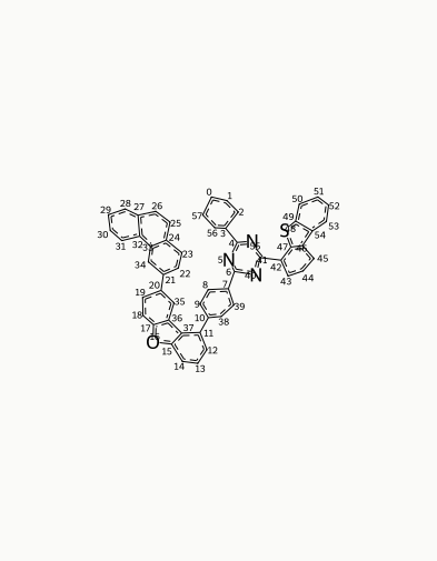 c1ccc(-c2nc(-c3ccc(-c4cccc5oc6ccc(-c7ccc8ccc9ccccc9c8c7)cc6c45)cc3)nc(-c3cccc4c3sc3ccccc34)n2)cc1